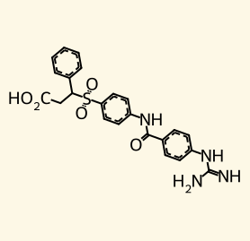 N=C(N)Nc1ccc(C(=O)Nc2ccc(S(=O)(=O)C(CC(=O)O)c3ccccc3)cc2)cc1